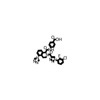 O=C(O)c1ccc(NC(=O)C2c3cccc(-n4cnnc4)c3CCN2C(=O)c2cn(-c3cccc(Cl)c3F)nn2)cc1